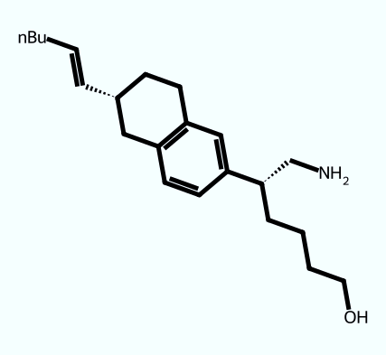 CCCC/C=C/[C@@H]1CCc2cc([C@H](CN)CCCCO)ccc2C1